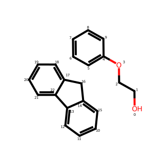 OCCOc1ccccc1.c1ccc2c(c1)Cc1ccccc1-2